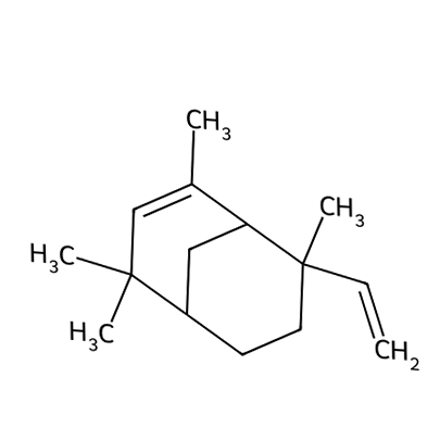 C=CC1(C)CCC2CC1C(C)=CC2(C)C